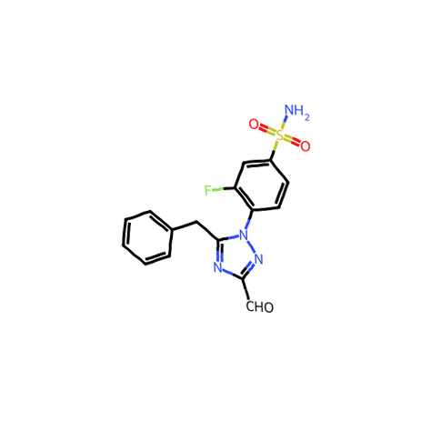 NS(=O)(=O)c1ccc(-n2nc(C=O)nc2Cc2ccccc2)c(F)c1